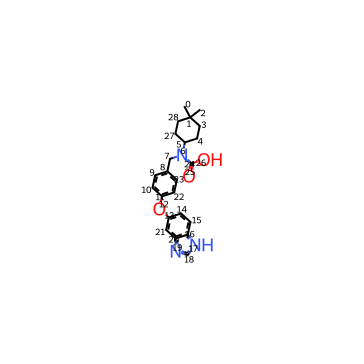 CC1(C)CCC(N(Cc2ccc(Oc3ccc4[nH]cnc4c3)cc2)C(=O)O)CC1